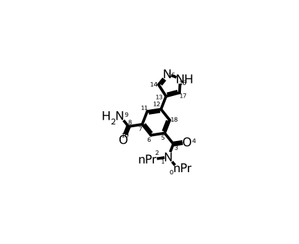 CCCN(CCC)C(=O)c1cc(C(N)=O)cc(-c2cn[nH]c2)c1